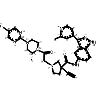 C#CC1(C(=O)Nc2ccc3[nH]nc(-c4ccnc(C)c4)c3c2)CCN(CC(=O)N2CCN(c3ncc(CC)cn3)C[C@H]2C)C1